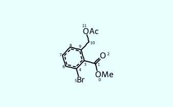 COC(=O)c1c(Br)cccc1COC(C)=O